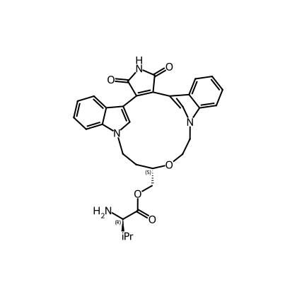 CC(C)[C@@H](N)C(=O)OC[C@@H]1CCn2cc(c3ccccc32)C2=C(C(=O)NC2=O)c2cn(c3ccccc23)CCO1